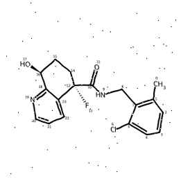 Cc1cccc(Cl)c1CNC(=O)[C@]1(F)CC[C@H](O)c2ncccc21